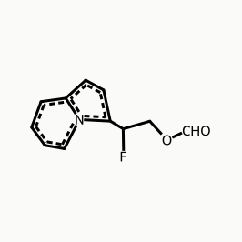 O=COCC(F)c1ccc2ccccn12